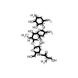 CNC1C(O[C@H]2OC(CO)[C@@H](NC(=O)[C@@H](N)CO)C[C@H]2O)O[C@H]2CC(N)[C@@H](O[C@@H]3C(N)C[C@@H](N)C(O)C3O)OC2C1O